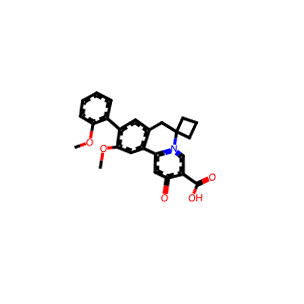 COc1ccccc1-c1cc2c(cc1OC)-c1cc(=O)c(C(=O)O)cn1C1(CCC1)C2